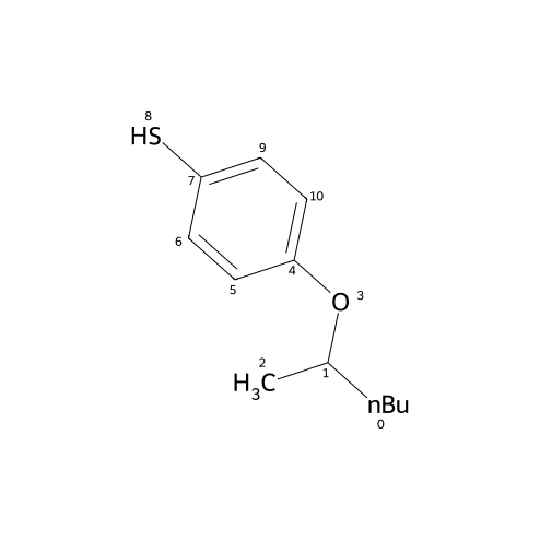 CCCCC(C)Oc1ccc(S)cc1